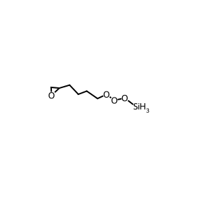 [SiH3]OOOCCCCC1CO1